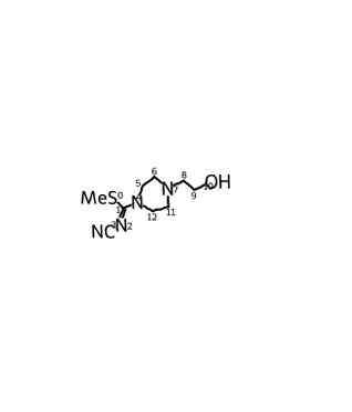 CSC(=NC#N)N1CCN(CCO)CC1